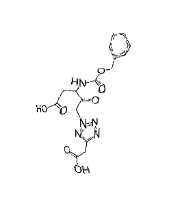 O=C(O)Cc1nnn(CC(=O)C(CC(=O)O)NC(=O)OCc2ccccc2)n1